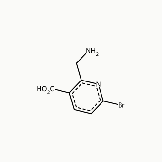 NCc1nc(Br)ccc1C(=O)O